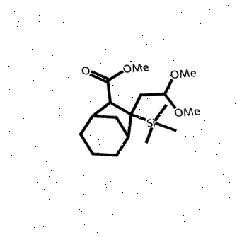 COC(=O)C1C2CCCC(C2)C1(CC(OC)OC)[Si](C)(C)C